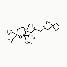 CCC1(COCCC[Si]2(C)CCC(C)(C)O[Si]2(C)C)COC1